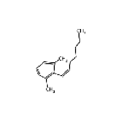 CCCCC/C=[C]\c1c(C)cccc1C